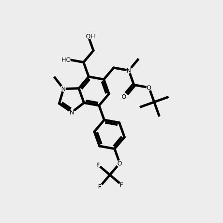 CN(Cc1cc(-c2ccc(OC(F)(F)F)cc2)c2ncn(C)c2c1C(O)CO)C(=O)OC(C)(C)C